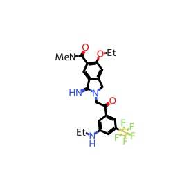 CCNc1cc(C(=O)CN2Cc3cc(OCC)c(C(=O)NC)cc3C2=N)cc(S(F)(F)(F)(F)F)c1